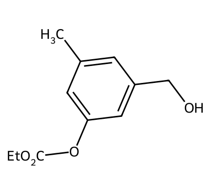 CCOC(=O)Oc1cc(C)cc(CO)c1